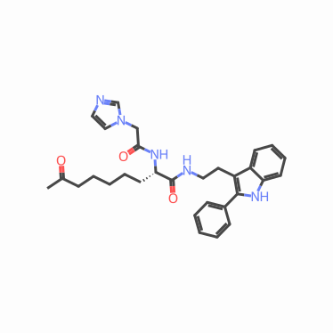 CC(=O)CCCCC[C@H](NC(=O)Cn1ccnc1)C(=O)NCCc1c(-c2ccccc2)[nH]c2ccccc12